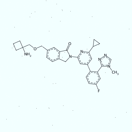 Cn1cnnc1-c1cc(F)ccc1-c1cc(C2CC2)nc(N2Cc3ccc(COCC4(N)CCC4)cc3C2=O)c1